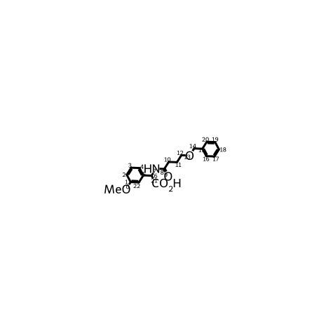 COc1cccc(C(NC(=O)CCCOCc2ccccc2)C(=O)O)c1